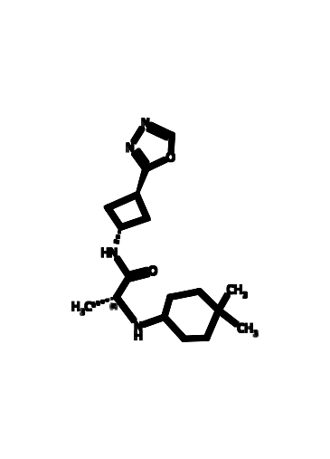 C[C@@H](NC1CCC(C)(C)CC1)C(=O)N[C@H]1C[C@H](c2nnco2)C1